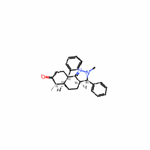 C[C@@H]1C(=O)CC[C@]2(c3ccccc3)C3=NN(C)[C@@H](c4ccccc4)[C@H]3CC[C@@H]12